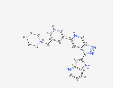 c1cnc2cc(-c3n[nH]c4cnc(-c5cncc(CN6CCCCC6)c5)cc34)[nH]c2c1